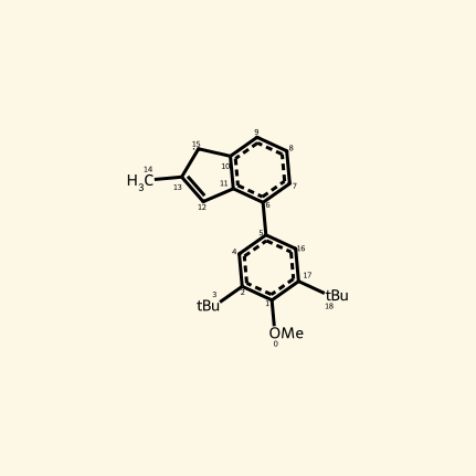 COc1c(C(C)(C)C)cc(-c2cccc3c2C=C(C)[CH]3)cc1C(C)(C)C